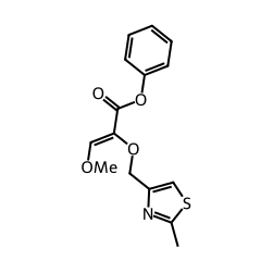 COC=C(OCc1csc(C)n1)C(=O)Oc1ccccc1